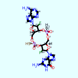 B[P@]1(=O)OC[C@H]2O[C@@H](n3cnc4c(=O)[nH]c(N)nc43)C(F)C2O[P@@](=O)(S)OC[C@H]2O[C@@H](n3cnc4c(N)ncnc43)C(F)C2O1